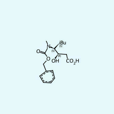 CC[C@H](C)[C@@H]([C@H](O)CC(=O)O)N(C)C(=O)OCc1ccccc1